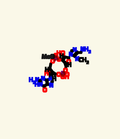 C=Nc1c(CN)ncn1[C@@H]1O[C@@H]2COP(=O)(O)O[C@@H]3[C@H](O)[C@@H](COP(=O)(OC)O[C@H]2[C@H]1O)O[C@H]3n1cnc2c(=O)[nH]c(N)nc21